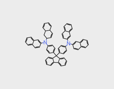 C1=CC2C=CC(N(c3ccc(C4(c5ccc(N(c6ccc7ccccc7c6)c6ccc7ccccc7c6)cc5)c5ccccc5-c5ccccc54)cc3)c3ccc4ccccc4c3)CC2C=C1